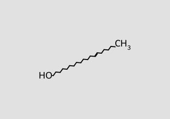 CCCCCCC=CCCCCCCCCCCCCO